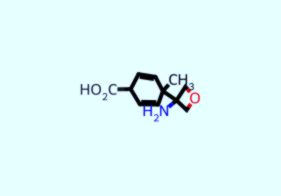 CC1(C2(N)COC2)C=CC(C(=O)O)C=C1